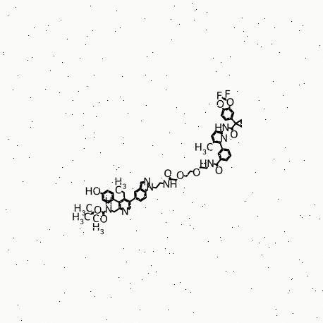 CCc1c(-c2ccc3c(cnn3CCNC(=O)COCCOCCNC(=O)c3cccc(-c4nc(NC(=O)C5(c6ccc7c(c6)OC(F)(F)O7)CC5)ccc4C)c3)c2)cnc(CNC(=O)OC(C)(C)C)c1-c1ccc(O)cc1